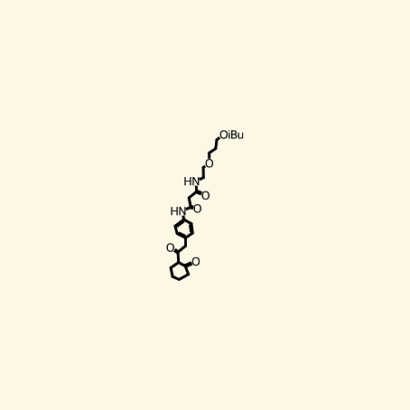 CC(C)COCCCOCCNC(=O)CC(=O)Nc1ccc(CC(=O)C2CCCCC2=O)cc1